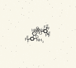 NC(=O)c1ccc(C(F)(F)F)cc1C1CCN(NS(=O)(=O)NC(=O)c2cc(C(F)(F)F)cc(C(F)(F)F)c2)CC1